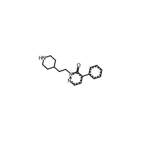 O=c1c(-c2ccccc2)ccnn1CCC1CCNCC1